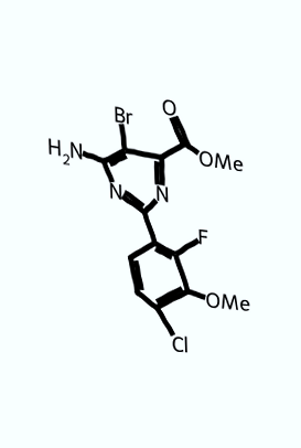 COC(=O)c1nc(-c2ccc(Cl)c(OC)c2F)nc(N)c1Br